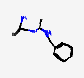 CCC(N)NC(C)NCc1ccccc1